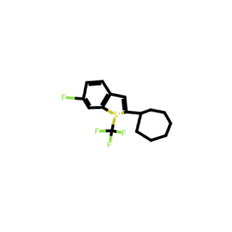 Fc1ccc2cc(C3CCCCCC3)[s+](C(F)(F)F)c2c1